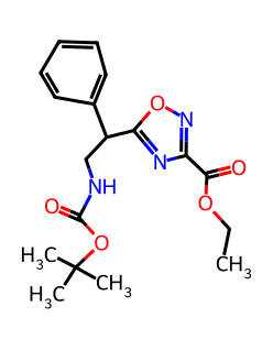 CCOC(=O)c1noc(C(CNC(=O)OC(C)(C)C)c2ccccc2)n1